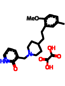 COc1ccc(C)cc1CCC1CCN(Cc2ccc[nH]c2=O)CC1.O=C(O)C(=O)O